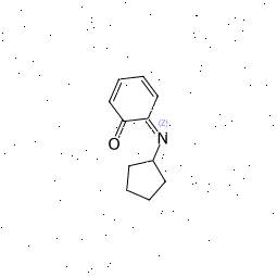 O=C1C=CC=C/C1=N/C1CCCC1